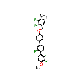 CCOc1ccc(-c2ccc(C3=CCC(OCc4ccc(C)c(F)c4F)CC3)cc2F)c(F)c1F